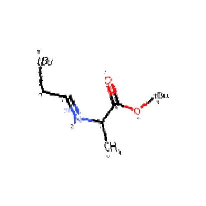 CC(/N=C/CC(C)(C)C)C(=O)OC(C)(C)C